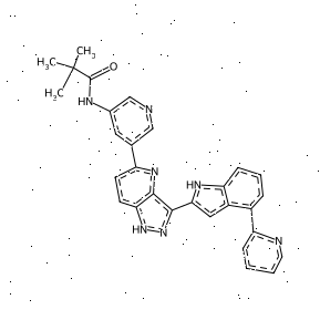 CC(C)(C)C(=O)Nc1cncc(-c2ccc3[nH]nc(-c4cc5c(-c6ccccn6)cccc5[nH]4)c3n2)c1